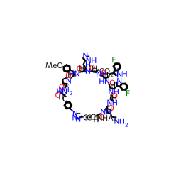 COc1ccc(C[C@@H]2NC(=O)[C@H](CCc3cnc[nH]3)NC(=O)[C@H](CC(=O)O)NC(=O)[C@H](CCc3c[nH]c4ccc(F)cc34)NC(=O)[C@H](Cc3c[nH]c4ccc(F)cc34)NC(=O)[C@@H](C)NC(=O)[C@H](CCCCN)NC(=O)[C@@H](NC(C)=O)CCCc3cn(nn3)-c3ccc(cc3)C[C@@H](C(N)=O)NC(=O)[C@]3(C)CCCN3C2=O)cc1